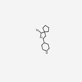 CCN(C(C)=O)C1(CCN2CCNCC2)CCCC1